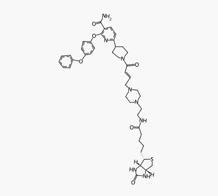 NC(=O)c1ccc(C2CCN(C(=O)C=CCN3CCN(CCNC(=O)CCCC[C@@H]4SC[C@@H]5NC(=O)N[C@@H]54)CC3)CC2)nc1Oc1ccc(Oc2ccccc2)cc1